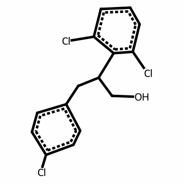 OCC(Cc1ccc(Cl)cc1)c1c(Cl)cccc1Cl